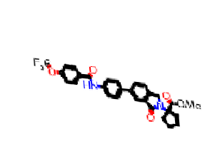 COC(=O)C1(N2Cc3ccc(-c4ccc(NC(=O)c5ccc(OC(F)(F)F)cc5)cc4)cc3C2=O)CCCC1